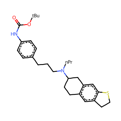 CCCN(CCCc1ccc(NC(=O)OC(C)(C)C)cc1)C1CCc2cc3c(cc2C1)SCC3